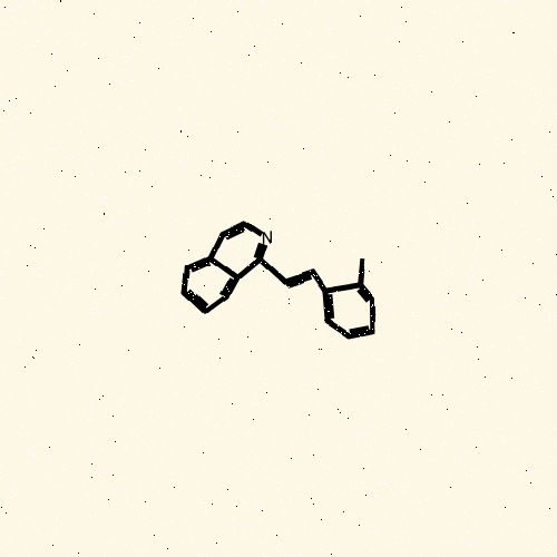 Cc1ccccc1/C=C/c1nccc2ccccc12